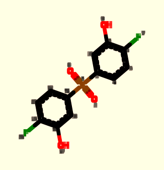 O=S(=O)(c1ccc(F)c(O)c1)c1ccc(F)c(O)c1